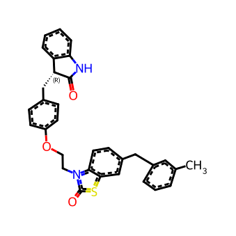 Cc1cccc(Cc2ccc3c(c2)sc(=O)n3CCOc2ccc(C[C@H]3C(=O)Nc4ccccc43)cc2)c1